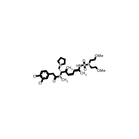 C=C(/C=C\C=C(/C)NS(=O)(=O)N(CCOC)CCOC)[C@@H](CN1CCCC1)N(C)C(=O)Cc1ccc(Cl)c(Cl)c1